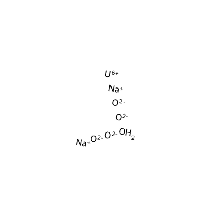 O.[Na+].[Na+].[O-2].[O-2].[O-2].[O-2].[U+6]